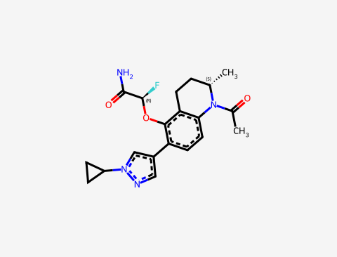 CC(=O)N1c2ccc(-c3cnn(C4CC4)c3)c(O[C@H](F)C(N)=O)c2CC[C@@H]1C